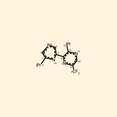 CC(C)c1cncc(-c2nc(C(F)(F)F)cnc2C(C)C)n1